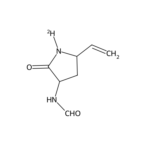 [2H]N1C(=O)C(NC=O)CC1C=C